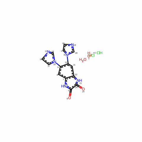 Cl.Cl.O.O.O=c1[nH]c2cc(-n3ccnc3)c(-n3ccnc3)cc2[nH]c1=O